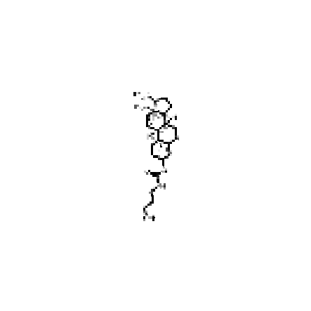 C[C@]12CCC(OC(=O)NCCCO)CC1CC[C@@H]1[C@H]2CC[C@]2(C)C(C(=O)O)CC[C@@]12N